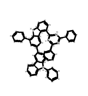 c1ccc(-c2nc(-c3ccccc3)nc(-c3cccc4sc5c(-c6ccccc6)cc(-c6ccc7c(c6)c6ccccc6n7-c6ccccc6)cc5c34)n2)cc1